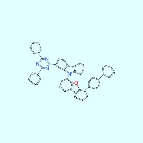 c1ccc(-c2ccc(-c3cccc4c3oc3c(-n5c6ccccc6c6ccc(-c7nc(-c8ccccc8)nc(-c8ccccc8)n7)cc65)cccc34)cc2)cc1